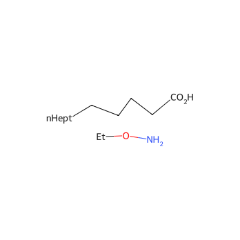 CCCCCCCCCCCC(=O)O.CCON